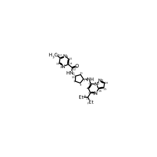 CCC(CC)c1cc(N[C@H]2CC[C@H](NC(=O)c3cnc(C)cn3)C2)n2nccc2n1